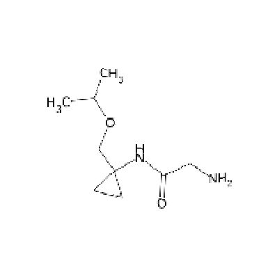 CC(C)OCC1(NC(=O)CN)CC1